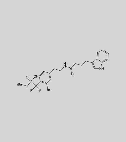 CCC(C)OP(=O)(O)C(F)(F)c1ccc(CCNC(=O)CCCc2c[nH]c3ccccc23)cc1Br